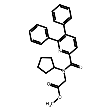 COC(=O)CN(C(=O)c1ccc(-c2ccccc2)c(-c2ccccc2)n1)C1CCCC1